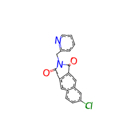 O=C1c2cc3ccc(Cl)cc3cc2C(=O)N1Cc1ccccn1